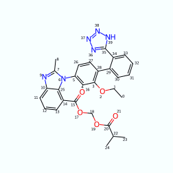 CCOc1cc(-n2c(C)nc3cccc(C(=O)OCOC(=O)C(C)C)c32)ccc1-c1ccccc1-c1nnn[nH]1